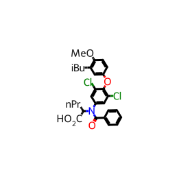 CCCC(C(=O)O)N(C(=O)c1ccccc1)c1cc(Cl)c(Oc2ccc(OC)c(C(C)CC)c2)c(Cl)c1